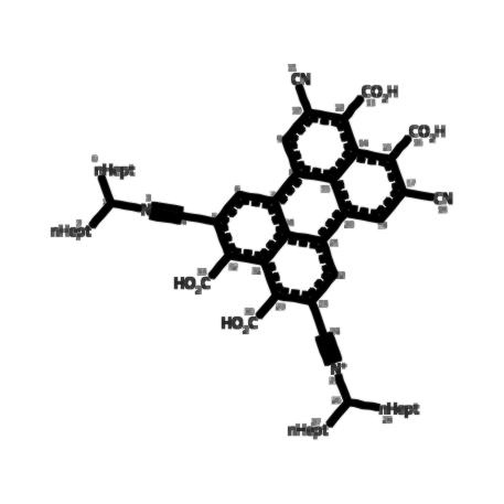 CCCCCCCC(CCCCCCC)[N+]#Cc1cc2c3cc(C#N)c(C(=O)O)c4c(C(=O)O)c(C#N)cc(c5cc(C#[N+]C(CCCCCCC)CCCCCCC)c(C(=O)O)c(c1C(=O)O)c25)c43